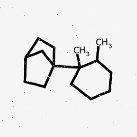 CC1CCCCC1(C)C12CCC(CC1)C2